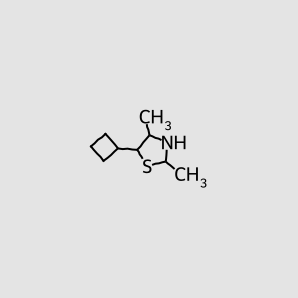 CC1NC(C)C(C2CCC2)S1